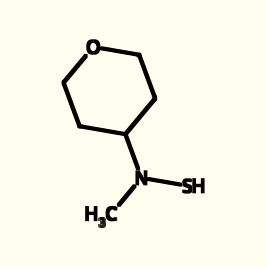 CN(S)C1CCOCC1